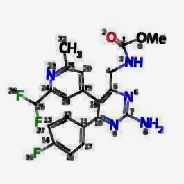 COC(=O)NCc1nc(N)nc(-c2ccc(F)cc2)c1-c1cc(C)nc(C(F)F)c1